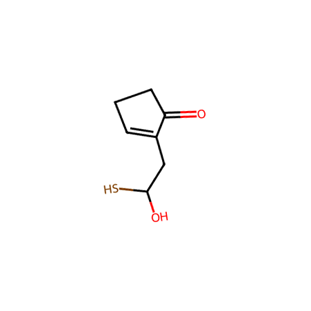 O=C1CCC=C1CC(O)S